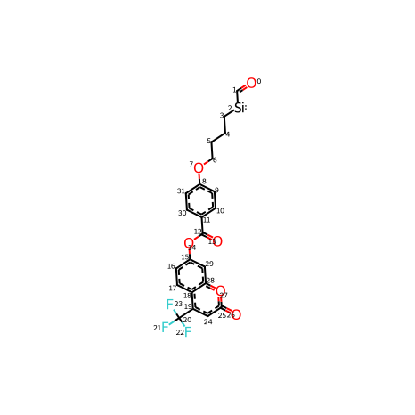 O=C[Si]CCCCOc1ccc(C(=O)Oc2ccc3c(C(F)(F)F)cc(=O)oc3c2)cc1